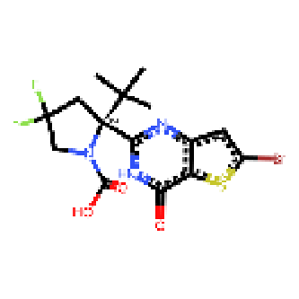 CC(C)(C)[C@]1(c2nc3cc(Br)sc3c(=O)[nH]2)CC(F)(F)CN1C(=O)O